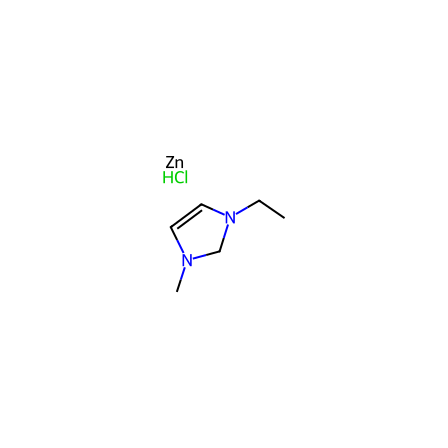 CCN1C=CN(C)C1.Cl.[Zn]